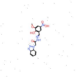 COc1cc([N+](=O)O)cc(/C=N/NC(=O)CN2N=NC3C=CC=CC32)c1O